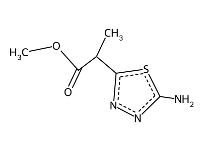 COC(=O)C(C)c1nnc(N)s1